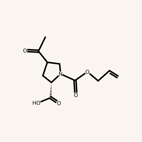 C=CCOC(=O)N1CC(C(C)=O)C[C@H]1C(=O)O